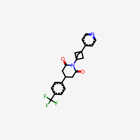 O=C1CC(c2ccc(C(F)(F)F)cc2)CC(=O)N1C12CC(c3ccncc3)(C1)C2